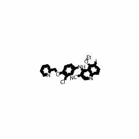 CCOc1c(I)ccc2ncc(C#N)c(Nc3ccc(OCc4ccccn4)c(Cl)c3)c12